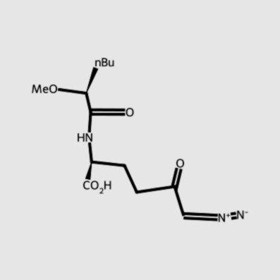 CCCC[C@H](OC)C(=O)N[C@@H](CCC(=O)C=[N+]=[N-])C(=O)O